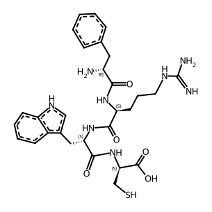 N=C(N)NCCC[C@H](NC(=O)[C@H](N)Cc1ccccc1)C(=O)N[C@@H](Cc1c[nH]c2ccccc12)C(=O)N[C@H](CS)C(=O)O